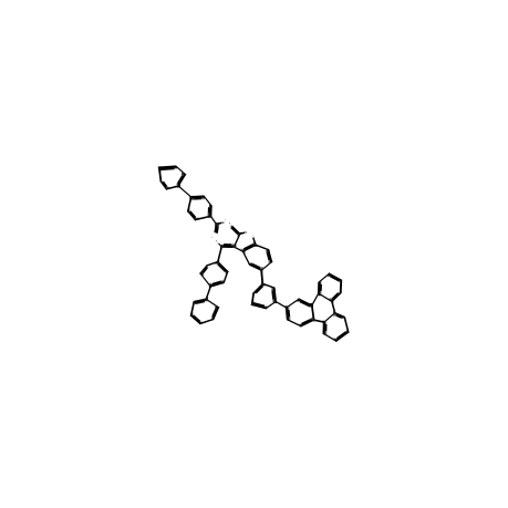 c1ccc(-c2ccc(-c3nc(-c4ccc(-c5ccccc5)cc4)c4c(n3)oc3ccc(-c5cccc(-c6ccc7c8ccccc8c8ccccc8c7c6)c5)cc34)cc2)cc1